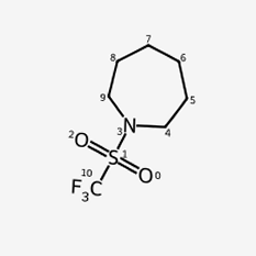 O=S(=O)(N1CCCCCC1)C(F)(F)F